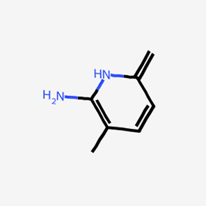 C=C1C=CC(C)=C(N)N1